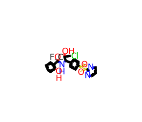 CC(O)(C(NC(=O)c1ccccc1O)c1ccc(S(=O)(=O)c2ncccn2)cc1Cl)C(F)(F)F